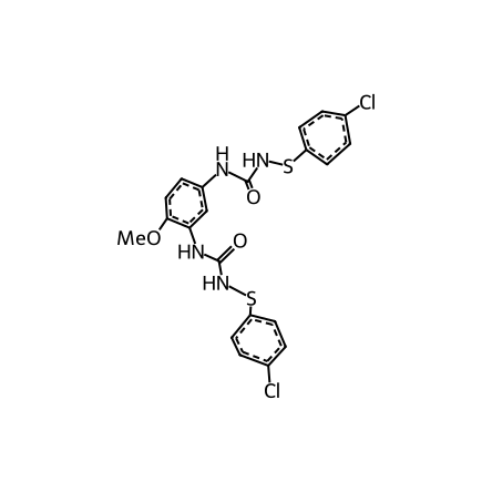 COc1ccc(NC(=O)NSc2ccc(Cl)cc2)cc1NC(=O)NSc1ccc(Cl)cc1